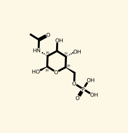 CC(=O)N[C@@H]1C(O)[C@H](O)[C@@H](COP(=O)(O)O)O[C@H]1O